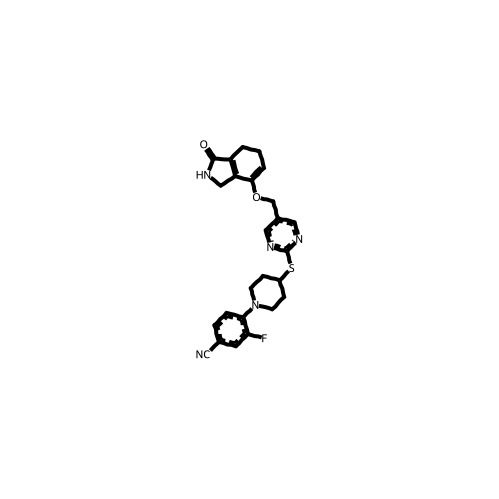 N#Cc1ccc(N2CCC(Sc3ncc(COC4=CCCC5=C4CNC5=O)cn3)CC2)c(F)c1